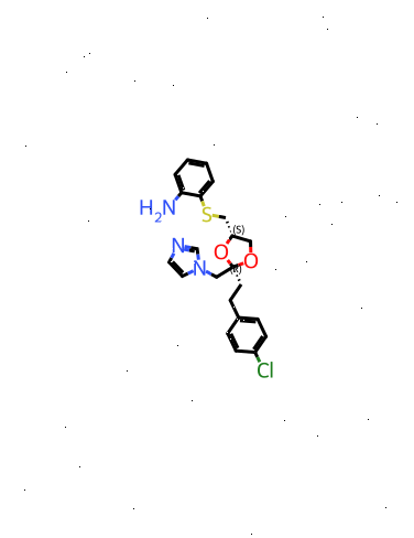 Nc1ccccc1SC[C@@H]1CO[C@@](CCc2ccc(Cl)cc2)(Cn2ccnc2)O1